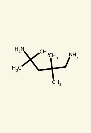 CC(C)(N)CC(C)(C)CN